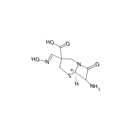 NC1C(=O)N2CC(C=NO)(C(=O)O)CS[C@H]12